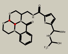 CNC(NC(O)C(F)(F)F)c1ccc(C(=O)NCC2COCCN2C(=O)c2ccccc2N2CCOCC2)s1